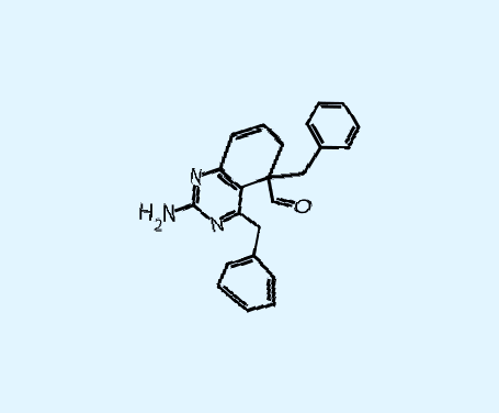 Nc1nc2c(c(Cc3ccccc3)n1)C(C=O)(Cc1ccccc1)CC=C2